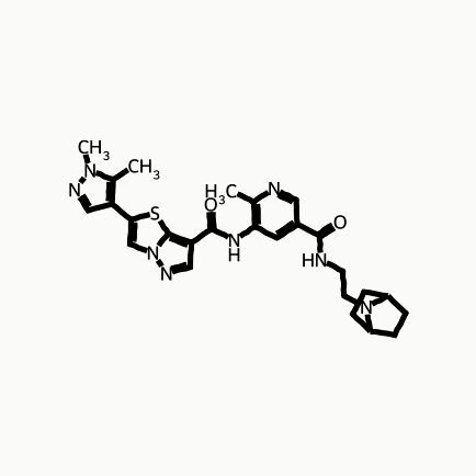 Cc1ncc(C(=O)NCCN2C3CCC2CC3)cc1NC(=O)c1cnn2cc(-c3cnn(C)c3C)sc12